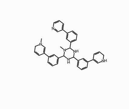 CN1C=C(c2cccc(C3NC(c4cccc(C5=CNCC=C5)c4)NC(c4cccc(-c5cccnc5)c4)N3C)c2)C=CC1